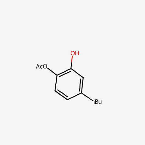 CCC(C)c1ccc(OC(C)=O)c(O)c1